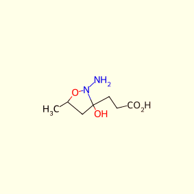 CC1CC(O)(CCC(=O)O)N(N)O1